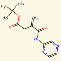 C=C(CC(=O)OC(C)(C)CCCCCC)C(=O)Nc1cnccn1